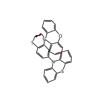 c1ccc2c(c1)Oc1ccccc1[Si]21c2ccccc2Sc2ccc(N3c4ccccc4Sc4ccccc43)cc21